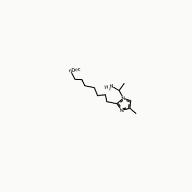 CCCCCCCCCCCCCCCCCc1nc(C)cn1C(C)N